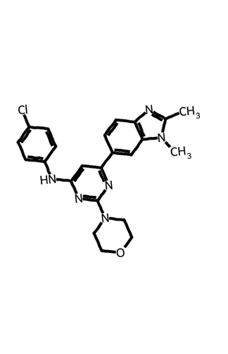 Cc1nc2ccc(-c3cc(Nc4ccc(Cl)cc4)nc(N4CCOCC4)n3)cc2n1C